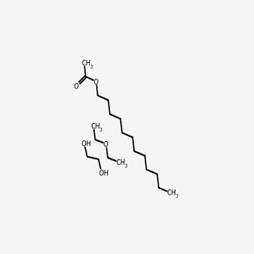 CCCCCCCCCCCCOC(C)=O.CCOCC.OCCO